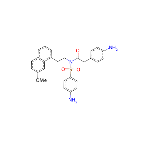 COc1ccc2cccc(CCN(C(=O)Cc3ccc(N)cc3)S(=O)(=O)c3ccc(N)cc3)c2c1